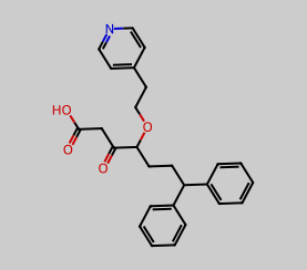 O=C(O)CC(=O)C(CCC(c1ccccc1)c1ccccc1)OCCc1ccncc1